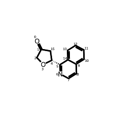 O=C1CO[C@@H](c2nc[c]c3ccccc23)C1